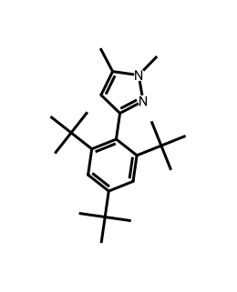 Cc1cc(-c2c(C(C)(C)C)cc(C(C)(C)C)cc2C(C)(C)C)nn1C